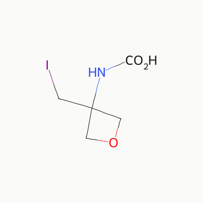 O=C(O)NC1(CI)COC1